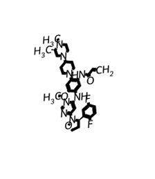 C=CC(=O)Nc1cc(Nc2cc(N3OCC[C@@H]3c3cc(F)ccc3F)ncn2)c(OC)cc1N1CCC(N2CCN(C)[C@@H](C)C2)CC1